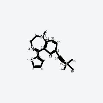 CN1CCN=C(c2cccs2)c2cc(C#C[Si](C)(C)C)ccc21